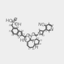 N#Cc1ccncc1C1CN(C(=O)[C@@H]2CC[C@@H]3CCC[C@H](NC(=O)c4cc5cc(CP(=O)(O)O)ccc5s4)C(=O)N32)C1